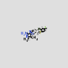 CCCc1nc2c(N)nc(C)c(C)c2n1CCCCSc1ccc(F)cc1F